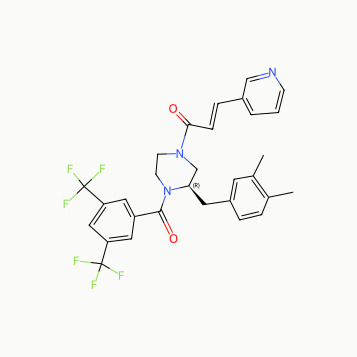 Cc1ccc(C[C@@H]2CN(C(=O)C=Cc3cccnc3)CCN2C(=O)c2cc(C(F)(F)F)cc(C(F)(F)F)c2)cc1C